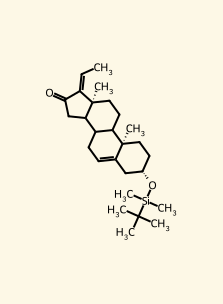 C/C=C1/C(=O)CC2C3CC=C4C[C@@H](O[Si](C)(C)C(C)(C)C)CC[C@]4(C)C3CC[C@]12C